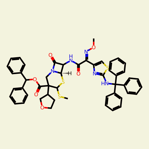 CON=C(C(=O)NC1C(=O)N2CC(C(=O)OC(c3ccccc3)c3ccccc3)(C3CCOC3)C(SC)S[C@H]12)c1csc(NC(c2ccccc2)(c2ccccc2)c2ccccc2)n1